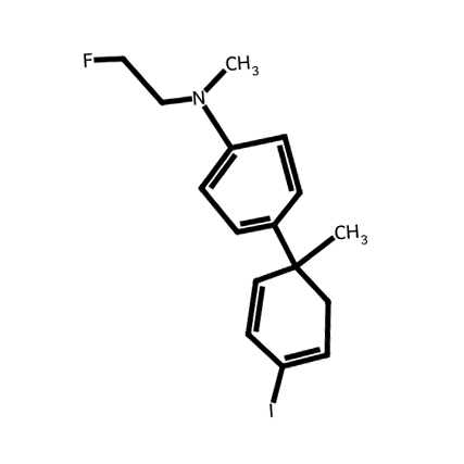 CN(CCF)c1ccc(C2(C)C=CC(I)=CC2)cc1